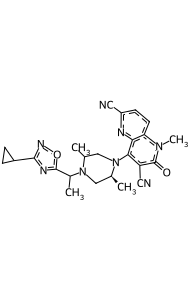 CC1CN(c2c(C#N)c(=O)n(C)c3ccc(C#N)nc23)[C@@H](C)CN1C(C)c1nc(C2CC2)no1